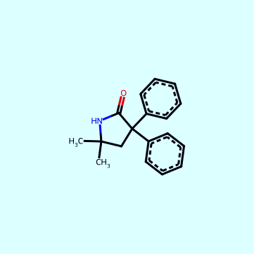 CC1(C)CC(c2ccccc2)(c2ccccc2)C(=O)N1